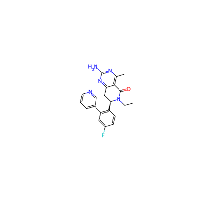 CCN1C(=O)c2c(C)nc(N)nc2C[C@@H]1c1ccc(F)cc1-c1cccnc1